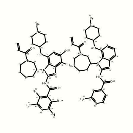 C=CC(=O)N1CCCCC(n2c(NC(=O)c3ccnc(C(F)(F)F)c3)nc3cccc(OC4CCN(C(C)C)CC4)c32)C1.[2H]c1cc(OC2CCN(C(C)C)CC2)c2c(nc(NC(=O)c3c([2H])c([2H])nc(C(F)(F)F)c3[2H])n2[C@@H]2CCCCN(C(=O)C=C)C2)c1[2H]